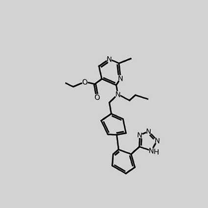 CCCN(Cc1ccc(-c2ccccc2-c2nnn[nH]2)cc1)c1nc(C)ncc1C(=O)OCC